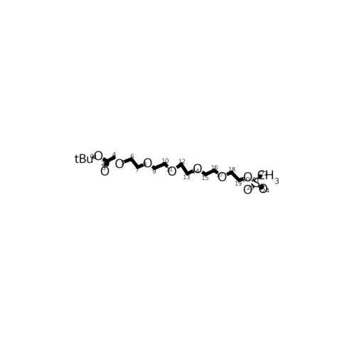 CC(C)(C)OC(=O)COCCOCCOCCOCCOCCOS(C)(=O)=O